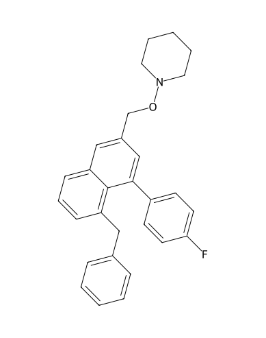 Fc1ccc(-c2cc(CON3CCCCC3)cc3cccc(Cc4ccccc4)c23)cc1